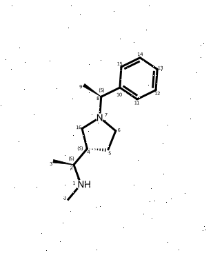 CN[C@@H](C)[C@H]1CCN([C@@H](C)c2ccccc2)C1